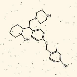 OC1CCCCC1C(CN1CCNCC1)c1ccc(OCc2ccc(Br)cc2F)cc1